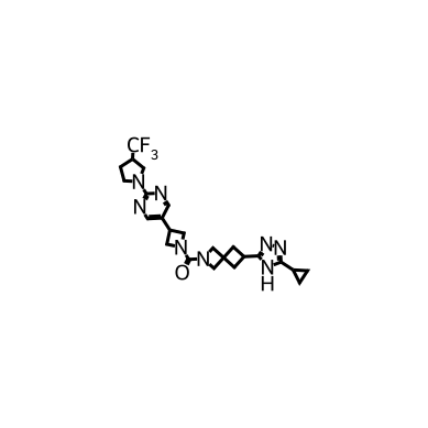 O=C(N1CC(c2cnc(N3CCC(C(F)(F)F)C3)nc2)C1)N1CC2(CC(c3nnc(C4CC4)[nH]3)C2)C1